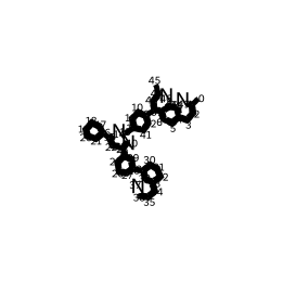 Cc1ccc2ccc3c(-c4ccc(-c5nc(-c6ccccc6)cc(-c6cccc(-c7cccc8cccnc78)c6)n5)cc4)cc(C)nc3c2n1